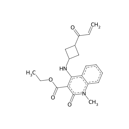 C=CC(=O)C1CC(Nc2c(C(=O)OCC)c(=O)n(C)c3ccccc23)C1